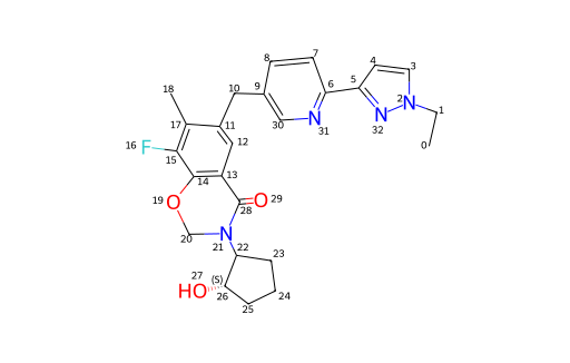 CCn1ccc(-c2ccc(Cc3cc4c(c(F)c3C)OCN(C3CCC[C@@H]3O)C4=O)cn2)n1